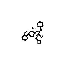 CN(C)C1(c2ccccc2)CCC2(CC1)CN(Cc1ccccc1C#N)C(=O)N2CC1CCC1